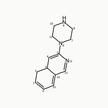 C1=CCC2C=C(N3CCNCC3)N=CC2=C1